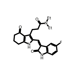 CCN(CC)C(=O)CCc1c(/C=C2\C(=O)Nc3ccc(F)cc32)[nH]c2c1C(=O)CCC2